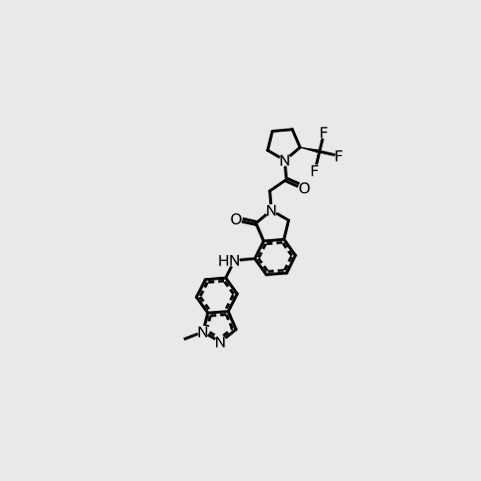 Cn1ncc2cc(Nc3cccc4c3C(=O)N(CC(=O)N3CCC[C@H]3C(F)(F)F)C4)ccc21